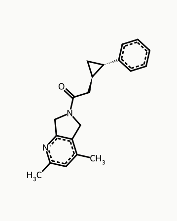 Cc1cc(C)c2c(n1)CN(C(=O)C[C@H]1C[C@@H]1c1ccccc1)C2